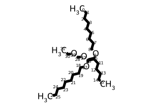 CCCCCCCCCOC(CCCCC)=C(OCCCCCCCCC)OCOCC